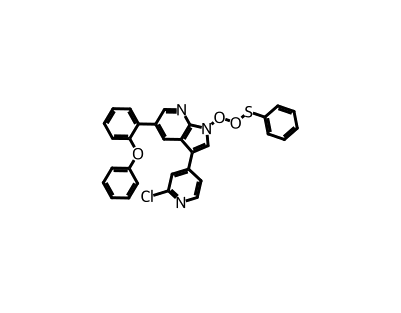 Clc1cc(-c2cn(OOSc3ccccc3)c3ncc(-c4ccccc4Oc4ccccc4)cc23)ccn1